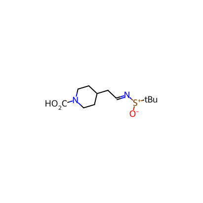 CC(C)(C)[S+]([O-])N=CCC1CCN(C(=O)O)CC1